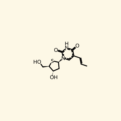 C/C=C/c1cn([C@H]2C[C@H](O)[C@@H](CO)S2)c(=O)[nH]c1=O